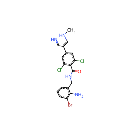 CN/C=C(\C=N)c1cc(Cl)c(C(=O)NCc2cccc(Br)c2N)c(Cl)c1